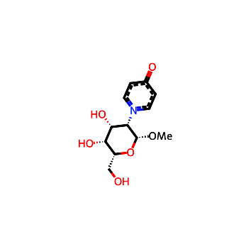 CO[C@@H]1O[C@H](CO)[C@H](O)[C@H](O)[C@@H]1n1ccc(=O)cc1